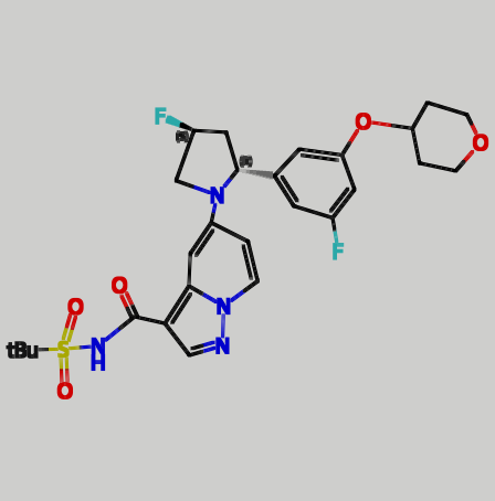 CC(C)(C)S(=O)(=O)NC(=O)c1cnn2ccc(N3C[C@@H](F)C[C@@H]3c3cc(F)cc(OC4CCOCC4)c3)cc12